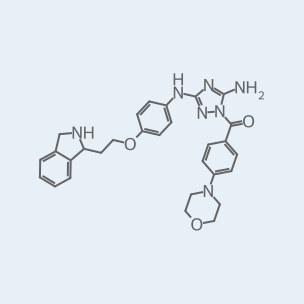 Nc1nc(Nc2ccc(OCCC3NCc4ccccc43)cc2)nn1C(=O)c1ccc(N2CCOCC2)cc1